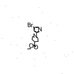 CCOC(=O)C1CCN(c2cncc(Br)c2)CC1